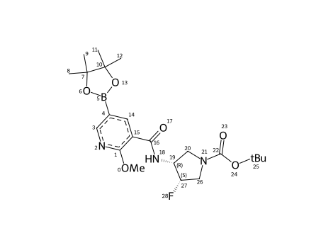 COc1ncc(B2OC(C)(C)C(C)(C)O2)cc1C(=O)N[C@@H]1CN(C(=O)OC(C)(C)C)C[C@@H]1F